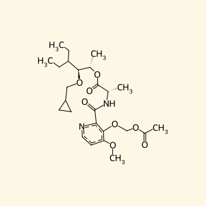 CCC(CC)[C@H](OCC1CC1)[C@H](C)OC(=O)[C@H](C)NC(=O)c1nccc(OC)c1OCOC(C)=O